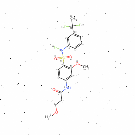 COCCC(=O)Nc1ccc(S(=O)(=O)N(F)c2cccc(C(C)(F)F)c2)c(OC)c1